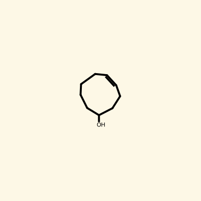 OC1CCC=CCCCC1